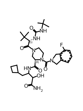 CC(C)(C)NC(=O)N[C@H](C(=O)N1CCN(C(=O)N2Cc3cccc(F)c3C2)[C@@H](C(=O)NC(CC2CCC2)C(O)C(N)=O)C1)C(C)(C)C